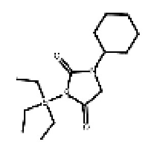 CC[Si](CC)(CC)N1C(=O)CN(C2CCCCC2)C1=O